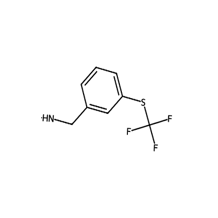 [NH]Cc1cccc(SC(F)(F)F)c1